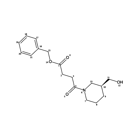 O=C(CCC(=O)N1CCC[C@H](CO)C1)OCc1ccccc1